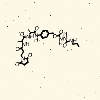 CCCNC(=O)NNC(=O)OCc1ccc(NC(=O)[C@H](C)NC(=O)[C@H](C)NC(=O)CCN2C(=O)C=CC2=O)cc1